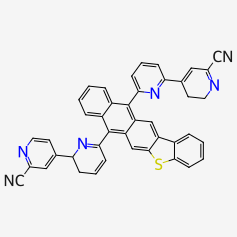 N#CC1=NCCC(c2cccc(-c3c4ccccc4c(C4=NC(c5ccnc(C#N)c5)CC=C4)c4cc5sc6ccccc6c5cc34)n2)=C1